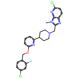 Cn1c(CN2CCC(c3cccc(OCc4ccc(Cl)cc4F)n3)CC2)nc2ccc(Cl)nc21